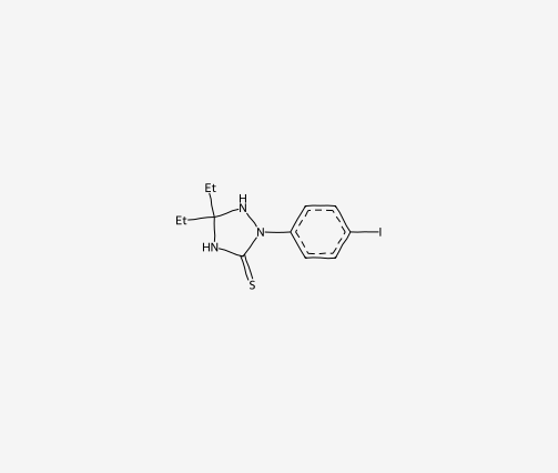 CCC1(CC)NC(=S)N(c2ccc(I)cc2)N1